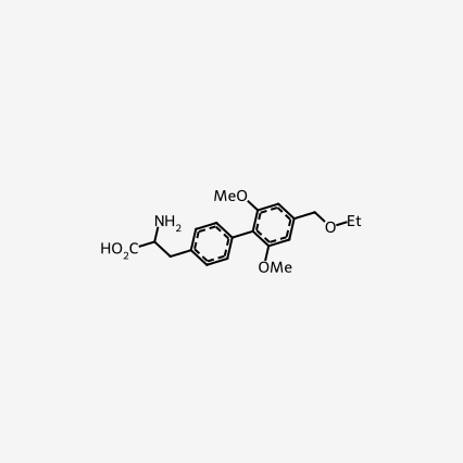 CCOCc1cc(OC)c(-c2ccc(CC(N)C(=O)O)cc2)c(OC)c1